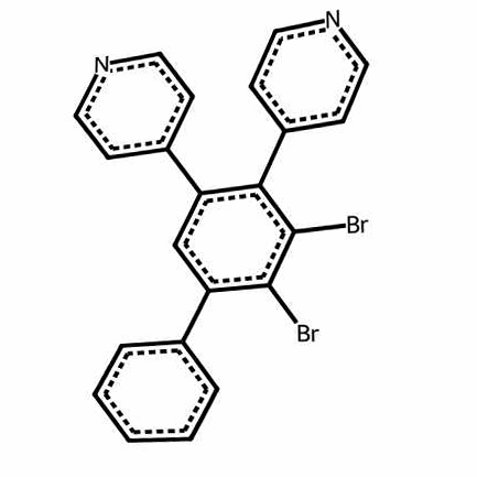 Brc1c(-c2ccccc2)cc(-c2ccncc2)c(-c2ccncc2)c1Br